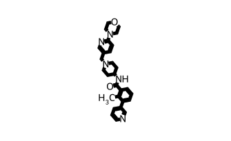 Cc1c(C(=O)NC2CCN(Cc3ccc(N4CCOCC4)nc3)CC2)cccc1-c1cccnc1